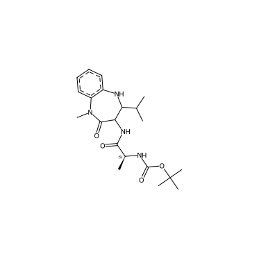 CC(C)C1Nc2ccccc2N(C)C(=O)C1NC(=O)[C@H](C)NC(=O)OC(C)(C)C